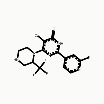 O=c1[nH]c(-c2ccnc(F)c2)nc(N2CCNCC2C(F)(F)F)c1Cl